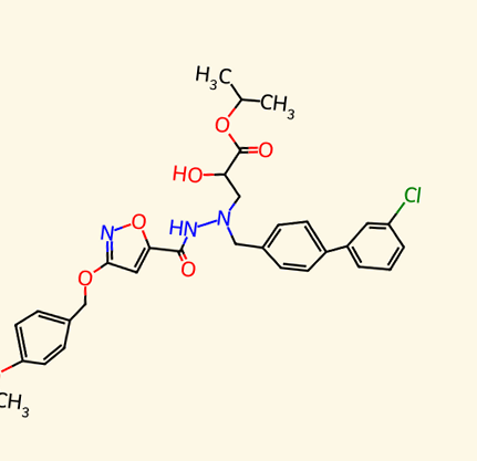 COc1ccc(COc2cc(C(=O)NN(Cc3ccc(-c4cccc(Cl)c4)cc3)CC(O)C(=O)OC(C)C)on2)cc1